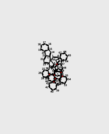 C1=CC2(C3=Cc4ccccc4C3=C1)C1=Cc3ccccc3C1=CC=C2N(c1ccccc1-c1cccc2sc3ccccc3c12)c1c2c(cc(-c3ccccc3)c1-c1ccccc1)-c1ccccc1C2